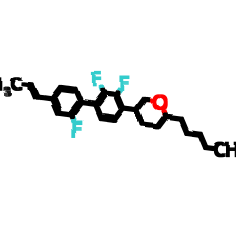 C/C=C/c1ccc(-c2ccc(C3CCC(CCCCC)OC3)c(F)c2F)c(F)c1